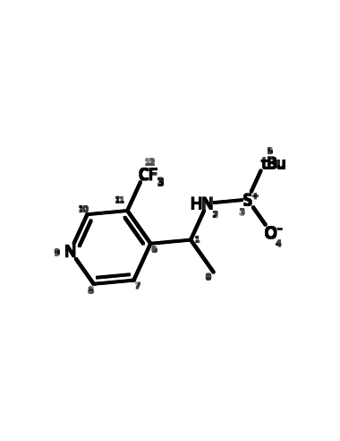 CC(N[S+]([O-])C(C)(C)C)c1ccncc1C(F)(F)F